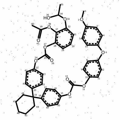 COc1ccc(Oc2ccc(OC(=O)Oc3ccc(C4(c5ccc(OC(=O)Oc6cccc(OC(C)O)c6OC(C)=O)cc5)CCCCC4)cc3)cc2)cc1